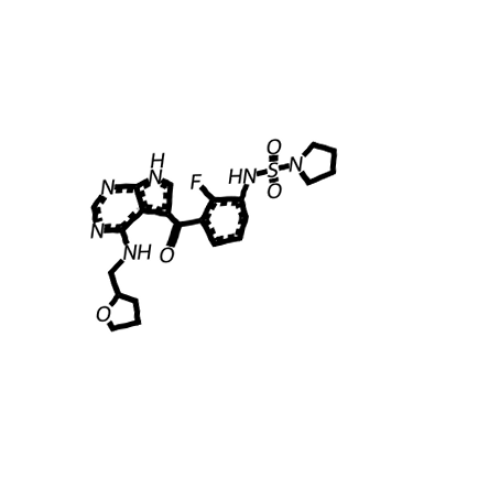 O=C(c1cccc(NS(=O)(=O)N2CCCC2)c1F)c1c[nH]c2ncnc(NCC3CCCO3)c12